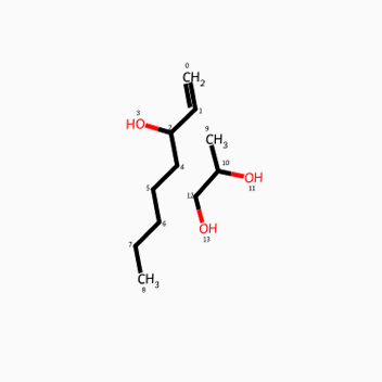 C=CC(O)CCCCC.CC(O)CO